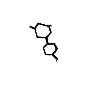 IC1CCN(C2CNCC(I)C2)CC1